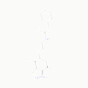 O=C(NCCSC1=CC(=O)c2[nH]ncc2C1=O)Oc1ccccc1